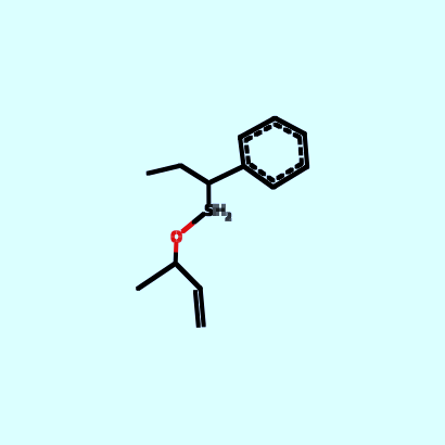 C=CC(C)O[SiH2]C(CC)c1ccccc1